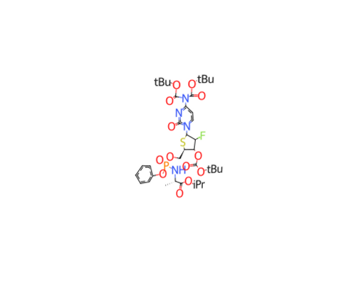 CC(C)OC(=O)[C@H](C)NP(=O)(OC[C@H]1SC(n2ccc(N(C(=O)OC(C)(C)C)C(=O)OC(C)(C)C)nc2=O)[C@@H](F)[C@@H]1OC(=O)OC(C)(C)C)Oc1ccccc1